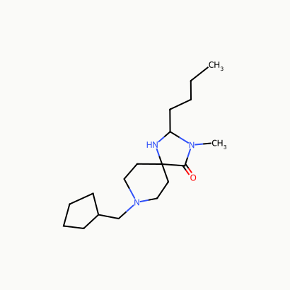 CCCCC1NC2(CCN(CC3CCCC3)CC2)C(=O)N1C